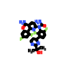 CC(C)(O)c1nccc(-c2ccc(F)c(N(C(N)=O)c3ccc(C(N)=O)c(-c4ccc(F)cc4F)n3)c2F)n1